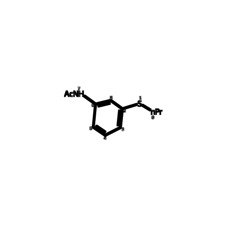 CCCSc1cccc(NC(C)=O)c1